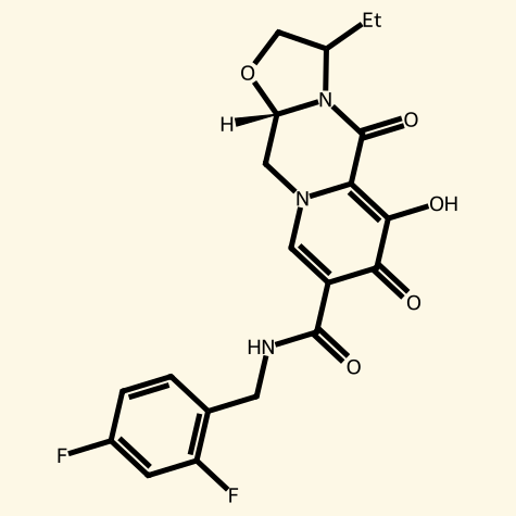 CCC1CO[C@H]2Cn3cc(C(=O)NCc4ccc(F)cc4F)c(=O)c(O)c3C(=O)N12